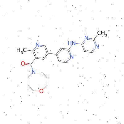 Cc1nccc(Nc2cc(-c3cnc(C)c(C(=O)N4CCCOCCC4)c3)ccn2)n1